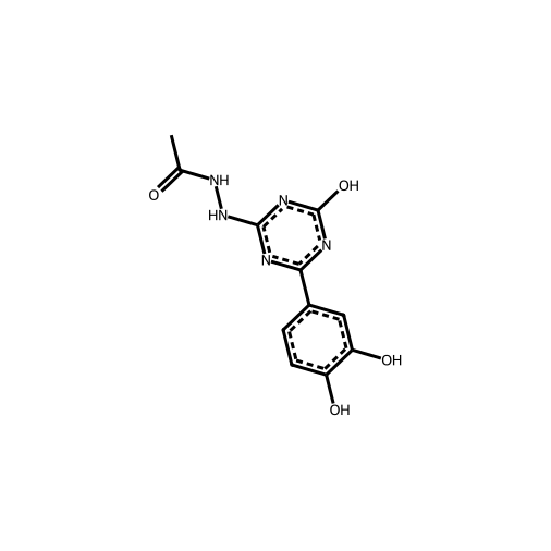 CC(=O)NNc1nc(O)nc(-c2ccc(O)c(O)c2)n1